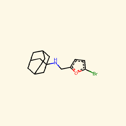 Brc1ccc(CNC23CC4CC(CC(C4)C2)C3)o1